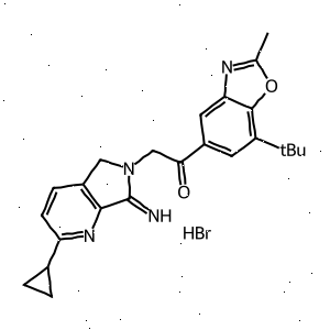 Br.Cc1nc2cc(C(=O)CN3Cc4ccc(C5CC5)nc4C3=N)cc(C(C)(C)C)c2o1